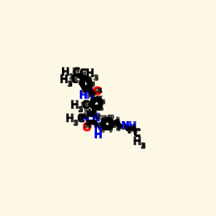 CCCNCCc1ccc(Nc2nc(-c3cccc(NC(=O)c4ccc(C(C)(C)C)cc4)c3C)cn(C)c2=O)cc1